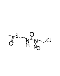 CC(=O)SCCNC(=O)N(CCCl)N=O